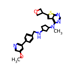 COc1cncc(-c2ccc(CNC3CCC(N(C)c4ncnc5sc(C6COC6)cc45)C3)cc2)c1